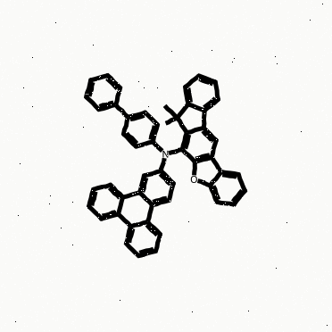 CC1(C)c2ccccc2-c2cc3c(oc4ccccc43)c(N(c3ccc(-c4ccccc4)cc3)c3ccc4c5ccccc5c5ccccc5c4c3)c21